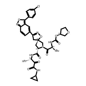 CCC[C@H](NC(=O)[C@@H]1C[C@]2(CC(c3ccc4noc(-c5ccc(Cl)cc5)c4c3)=NO2)CN1C(=O)[C@@H](NC(=O)O[C@H]1CCOC1)C(C)(C)C)C(=O)C(=O)NC1CC1